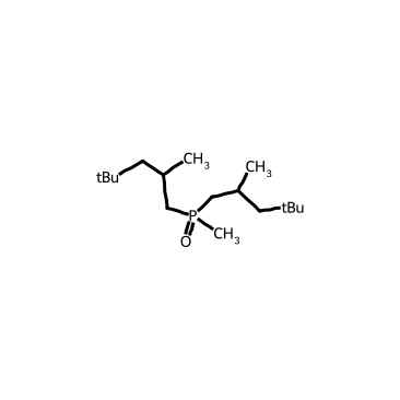 CC(CC(C)(C)C)CP(C)(=O)CC(C)CC(C)(C)C